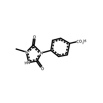 Cn1[nH]c(=O)n(-c2ccc(C(=O)O)cc2)c1=O